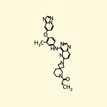 C=CC(=O)N1CCCC2(C1)CN(c1ccc3ncnc(Nc4ccc(Oc5ccn6ncnc6c5)c(C)c4)c3n1)C2